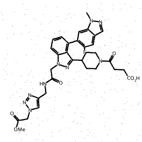 COC(=O)Cn1cc(CNC(=O)Cn2nc(C3CCN(C(=O)CCC(=O)O)CC3)c3c(-c4cc5c(cnn5C)cc4F)cccc32)nn1